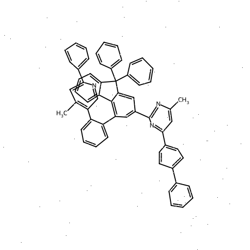 Cc1cc(-c2ccc(-c3ccccc3)cc2)nc(-c2cc(-c3ccccc3-c3cnc(-c4ccccc4)cc3C)c3c(c2)C(c2ccccc2)(c2ccccc2)c2ccccc2-3)n1